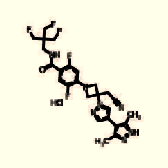 Cc1n[nH]c(C)c1-c1cnn(C2(CC#N)CN(c3cc(F)c(C(=O)NCC(CF)(CF)CF)cc3F)C2)c1.Cl